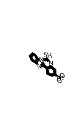 O=[N+]([O-])c1ccc2c(c1)nc(S)n1c3ccccc3nc21